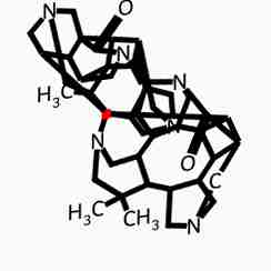 CC1(C)CN2CC3C1C1CN4CC1C1C5C6CN7C(=O)C1(C4)C5C(C2)(/C7=C1/N2CC4C5C7CN8CC5(C2=O)C2C15CN1CC9C(C1)C5C42C(C)(C8)C97)C63